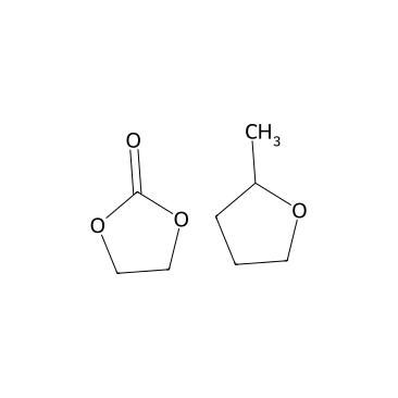 CC1CCCO1.O=C1OCCO1